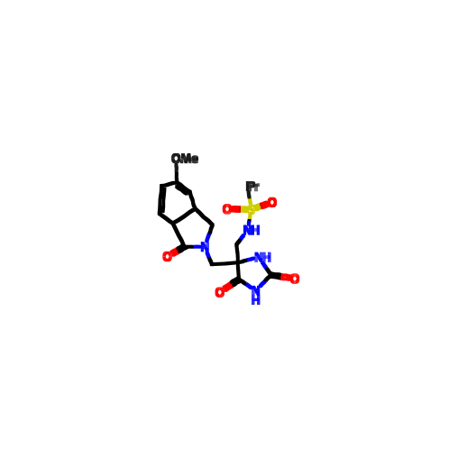 COC1=CC2CN(CC3(CNS(=O)(=O)C(C)C)NC(=O)NC3=O)C(=O)C2C=C1